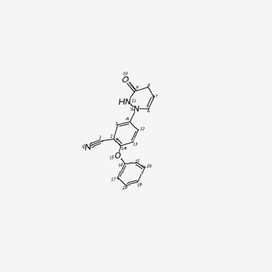 N#Cc1cc(N2C=CCC(=O)N2)ccc1Oc1ccccc1